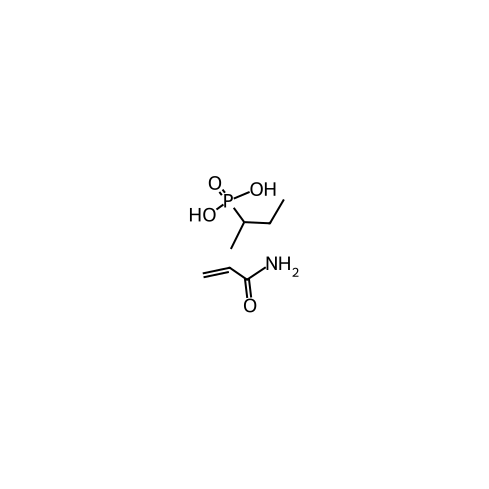 C=CC(N)=O.CCC(C)P(=O)(O)O